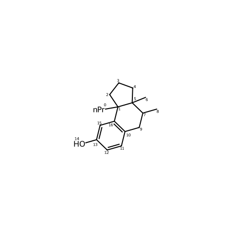 CCCC12CCCC1(C)C(C)Cc1ccc(O)cc12